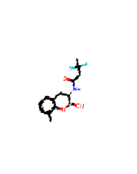 Cc1cccc2c1OB(O)[C@@H](NC(=O)CC(C)(F)F)C2